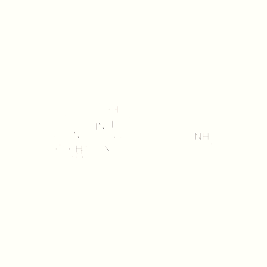 C[C@H](NP(=O)(O)CCCCCCN)C(=O)N1CCC[C@H]1C(=O)O